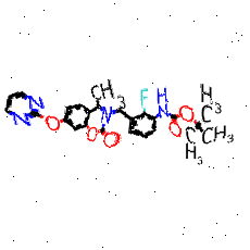 CC1c2ccc(Oc3ncccn3)cc2OC(=O)N1Cc1cccc(NC(=O)OC(C)(C)C)c1F